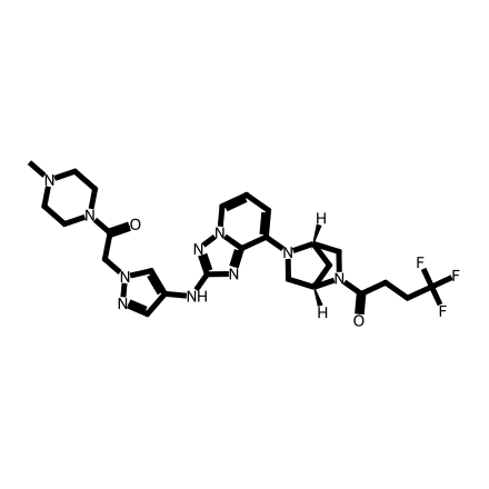 CN1CCN(C(=O)Cn2cc(Nc3nc4c(N5C[C@@H]6C[C@H]5CN6C(=O)CCC(F)(F)F)cccn4n3)cn2)CC1